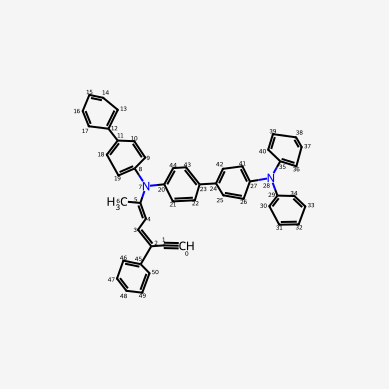 C#C/C(=C\C=C(/C)N(c1ccc(-c2ccccc2)cc1)c1ccc(-c2ccc(N(c3ccccc3)c3ccccc3)cc2)cc1)c1ccccc1